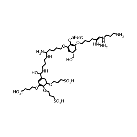 CCCCCOC1=C(OCCCC/C(=C/NCCCN)NN)C[C@H](CO)C=C1OCCCCC(N)NCCCN[C@H](O)C1=CC(OCCCS(=O)(=O)O)=C(OCCCS(=O)(=O)O)C(OCCCS(=O)(=O)O)C1